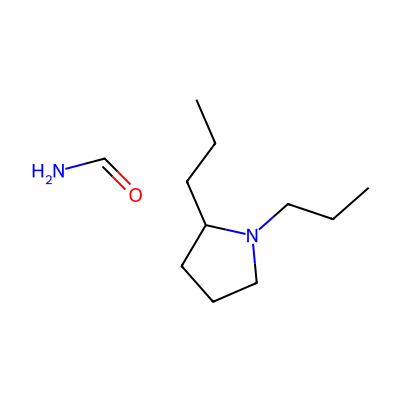 CCCC1CCCN1CCC.NC=O